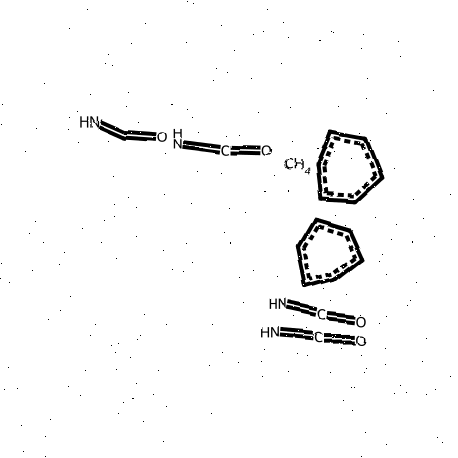 C.N=C=O.N=C=O.N=C=O.N=C=O.c1ccccc1.c1ccccc1